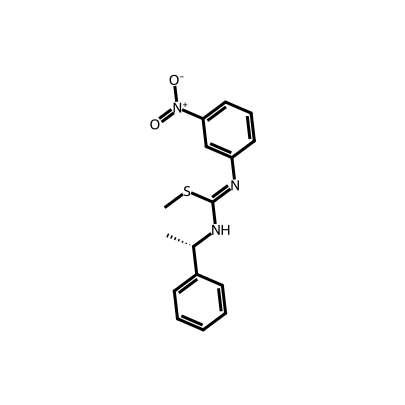 CSC(=Nc1cccc([N+](=O)[O-])c1)N[C@@H](C)c1ccccc1